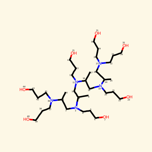 CC(CN(CCCO)C(C)CN(CCCO)C(C)CN(CCCO)C(C)CN(CCCO)CCCO)N(CCCO)CCCO